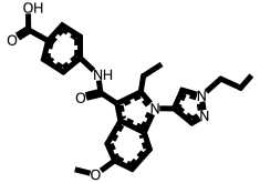 CCCn1cc(-n2c(CC)c(C(=O)Nc3ccc(C(=O)O)cc3)c3cc(OC)ccc32)cn1